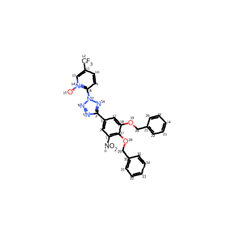 O=[N+]([O-])c1cc(-c2nnn(-c3ccc(C(F)(F)F)c[n+]3[O-])n2)cc(OCc2ccccc2)c1OCc1ccccc1